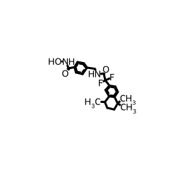 CC1CCC(C)(C)c2ccc(C(F)(F)C(=O)NCc3ccc(C(=O)NO)cc3)cc21